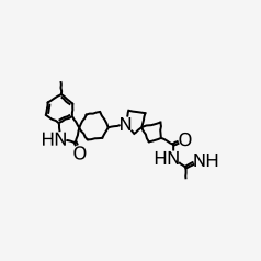 CC(=N)NC(=O)C1CC2(CCN(C3CCC4(CC3)C(=O)Nc3ccc(C)cc34)C2)C1